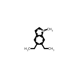 CCc1cc2ccn(C)c2cc1CC